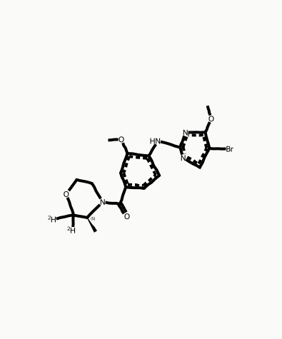 [2H]C1([2H])OCCN(C(=O)c2ccc(Nc3ncc(Br)c(OC)n3)c(OC)c2)[C@H]1C